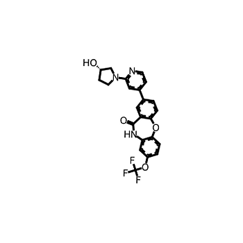 O=C1Nc2cc(OC(F)(F)F)ccc2Oc2ccc(-c3ccnc(N4CC[C@H](O)C4)c3)cc21